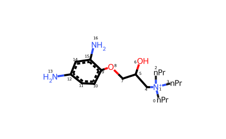 CCC[N+](CCC)(CCC)CC(O)COc1ccc(N)cc1N